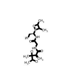 C=C(C(=O)NCC(=O)N[C@@H](CC(C)C)B1OC(C)C1C)C(C)(Cl)C(C)Cl